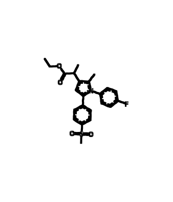 CCOC(=O)C(C)c1cc(-c2ccc(S(C)(=O)=O)cc2)n(-c2ccc(F)cc2)c1C